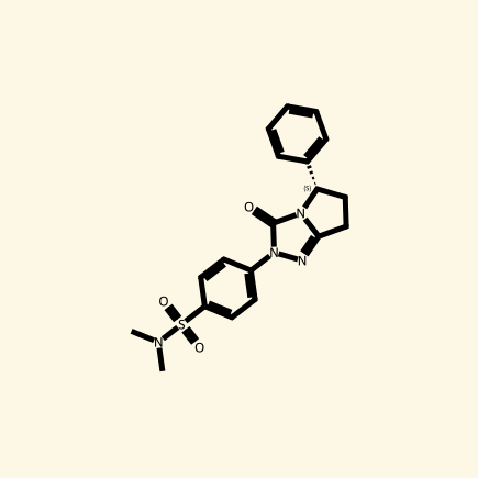 CN(C)S(=O)(=O)c1ccc(-n2nc3n(c2=O)[C@H](c2ccccc2)CC3)cc1